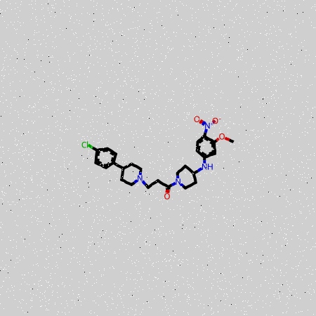 COc1cc(NC2CCN(C(=O)CCN3CCC(c4ccc(Cl)cc4)CC3)CC2)ccc1[N+](=O)[O-]